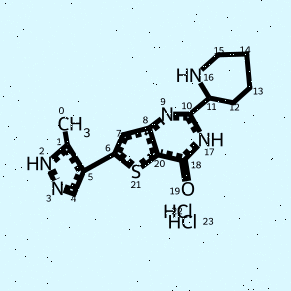 Cc1[nH]ncc1-c1cc2nc(C3CCCCN3)[nH]c(=O)c2s1.Cl.Cl